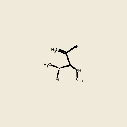 C=C(C(C)C)C(PC)N(C)CC